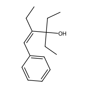 CCC(=Cc1ccccc1)C(O)(CC)CC